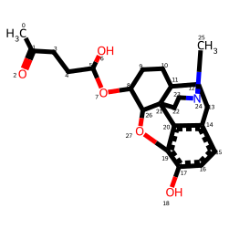 CC(=O)CCC(O)OC1CCC2C3Cc4ccc(O)c5c4C2(CCN3C)C1O5